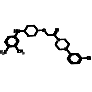 Cc1ccc(NC2CCC(OCC(=O)N3CCN(c4cccc(Cl)c4)CC3)CC2)cc1C(F)(F)F